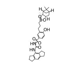 CC1(C)[C@@H]2C[C@H]3OB(CCCc4cc(S(=O)(=O)NC(=O)Nc5c6c(cc7c5CCC7)CCC6)ccc4O)O[C@@]3(C)[C@H]1C2